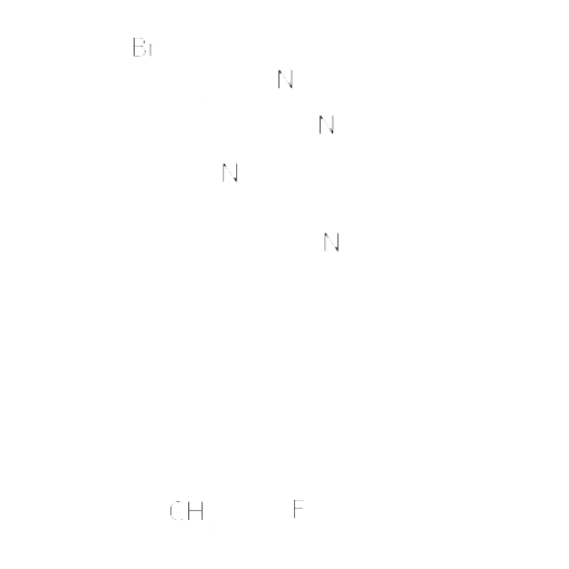 Cc1ccc(N2CCCn3nc(Br)nc32)cc1F